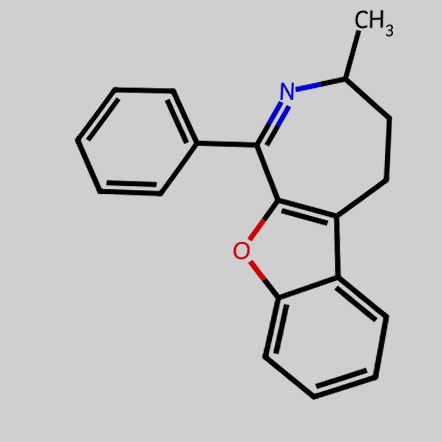 CC1CCc2c(oc3ccccc23)C(c2ccccc2)=N1